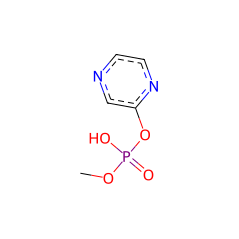 COP(=O)(O)Oc1cnccn1